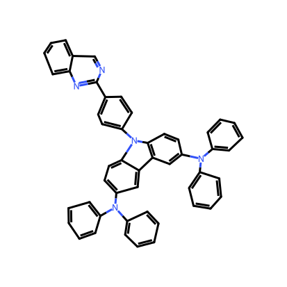 c1ccc(N(c2ccccc2)c2ccc3c(c2)c2cc(N(c4ccccc4)c4ccccc4)ccc2n3-c2ccc(-c3ncc4ccccc4n3)cc2)cc1